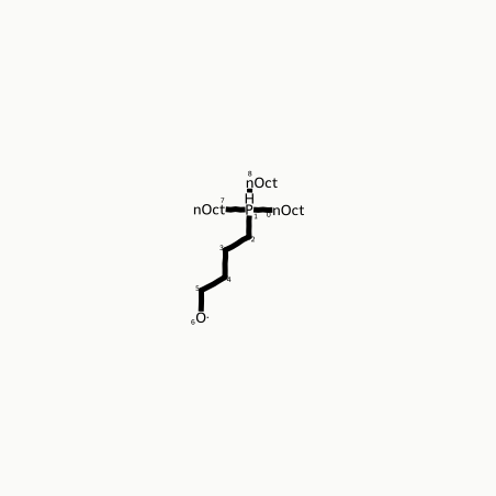 CCCCCCCC[PH](CCCC[O])(CCCCCCCC)CCCCCCCC